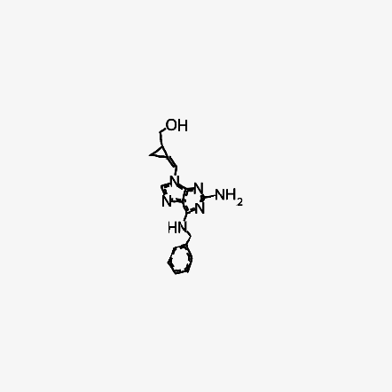 Nc1nc(NCc2ccccc2)c2ncn(C=C3CC3CO)c2n1